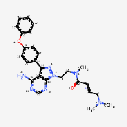 CN(C)C/C=C/C(=O)N(C)CCn1nc(-c2ccc(Oc3ccccc3)cc2)c2c(N)ncnc21